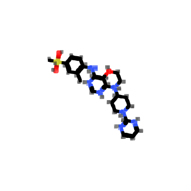 Cc1cc(S(C)(=O)=O)ccc1Nc1ncnc2c1OCCN2C1CCN(c2ncccn2)CC1